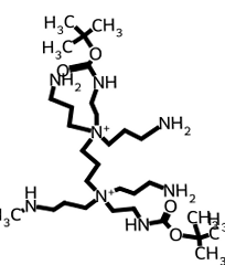 CNCCC[N+](CCCN)(CCC[N+](CCCN)(CCCN)CCNC(=O)OC(C)(C)C)CCNC(=O)OC(C)(C)C